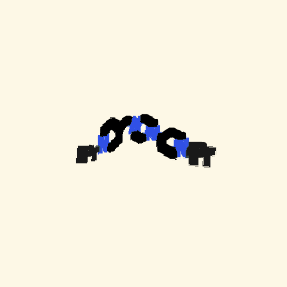 CC(C)N1CCC(CN2CCN(C3CCN(C(C)C)CC3)CC2)CC1